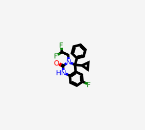 O=C1Nc2ccc(F)cc2C(c2ccccc2)(C2CC2)N1CC(F)F